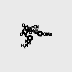 COc1ccc(CNC(=O)N(CC#N)N2CC(=O)N3CC(=O)N(Cc4cccc5sc(N)nc45)C[C@@H]32)cc1